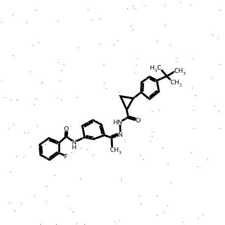 C/C(=N/NC(=O)C1CC1c1ccc(C(C)(C)C)cc1)c1cccc(NC(=O)c2ccccc2F)c1